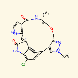 C[C@@H]1COCc2nn(C)cc2-c2cc(Cl)c3c(c2)/C(=C/c2[nH]ccc2C(=O)N1)C(=O)N3